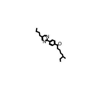 CCCCc1cnc(-c2ccc(C(=O)CCCCC(C)CC)cc2)nc1